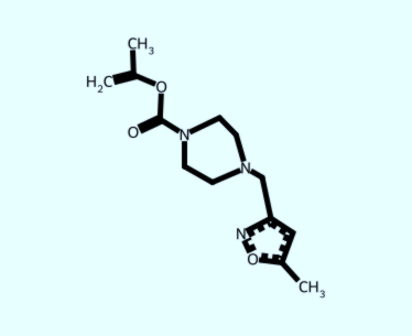 C=C(C)OC(=O)N1CCN(Cc2cc(C)on2)CC1